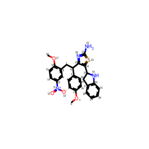 COc1ccc(C(Cc2cc([N+](=O)[O-])ccc2OC)c2nc(N)sc2C2Cc3ccccc3N2)cc1